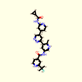 Cc1ncc(NC(=O)c2ccnc(C(C)(C)F)c2)cc1-c1cc(-c2ccnc(NC(=O)C3CC3)c2)cnn1